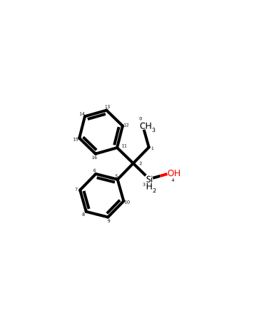 CCC([SiH2]O)(c1ccccc1)c1ccccc1